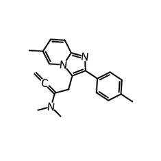 C=C=C(Cc1c(-c2ccc(C)cc2)nc2ccc(C)cn12)N(C)C